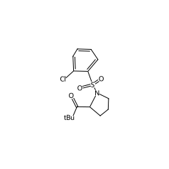 CC(C)(C)C(=O)C1CCCN1S(=O)(=O)c1ccccc1Cl